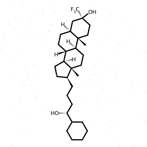 C[C@]12CC[C@@](O)(C(F)(F)F)C[C@@H]1CC[C@@H]1[C@@H]2CC[C@]2(C)[C@@H](CCC[C@@H](O)C3CCCCC3)CC[C@@H]12